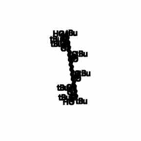 CC(C)(C)OC(=O)N(CCCCCCCN(CCCCN(Cc1cc(C(C)(C)C)c(O)c(C(C)(C)C)c1)C(=O)OC(C)(C)C)C(=O)OC(C)(C)C)CCCCN(Cc1cc(C(C)(C)C)c(O)c(C(C)(C)C)c1)C(=O)OC(C)(C)C